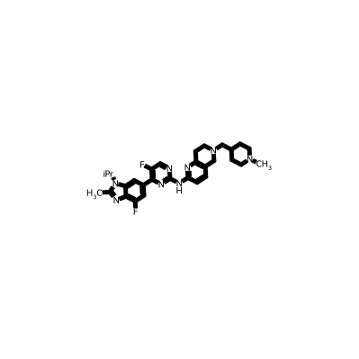 Cc1nc2c(F)cc(-c3nc(Nc4ccc5c(n4)CCN(CC4CCN(C)CC4)C5)ncc3F)cc2n1C(C)C